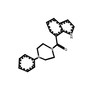 O=C(c1cccc2cc[nH]c12)N1CCN(c2ccccc2)CC1